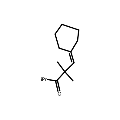 CC(C)C(=O)C(C)(C)C=C1CCCCC1